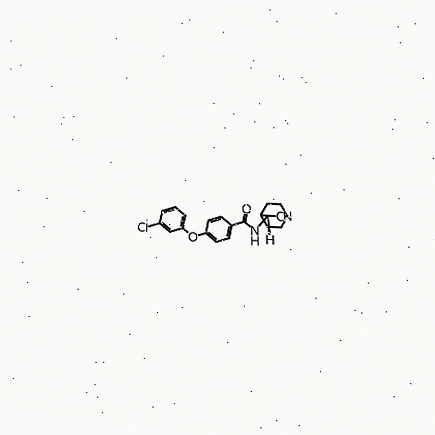 O=C(N[C@H]1CN2CCC1CC2)c1ccc(Oc2cccc(Cl)c2)cc1